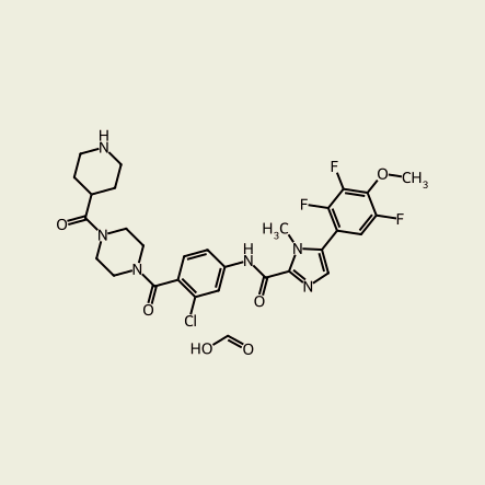 COc1c(F)cc(-c2cnc(C(=O)Nc3ccc(C(=O)N4CCN(C(=O)C5CCNCC5)CC4)c(Cl)c3)n2C)c(F)c1F.O=CO